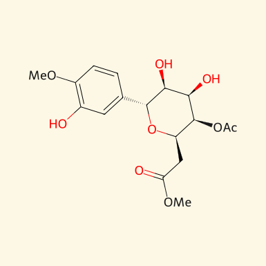 COC(=O)C[C@H]1O[C@H](c2ccc(OC)c(O)c2)[C@@H](O)[C@@H](O)[C@H]1OC(C)=O